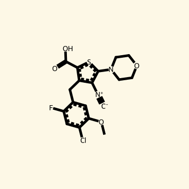 [C-]#[N+]c1c(N2CCOCC2)sc(C(=O)O)c1Cc1cc(OC)c(Cl)cc1F